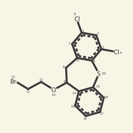 Clc1cc(Cl)c2c(c1)CC(OCCBr)c1ccccc1S2